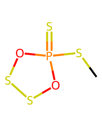 CSP1(=S)OSSO1